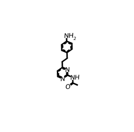 CC(=O)Nc1nccc(CCc2ccc(N)cc2)n1